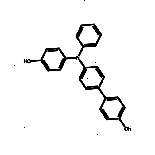 Oc1ccc(-c2ccc(N(c3ccccc3)c3ccc(O)cc3)cc2)cc1